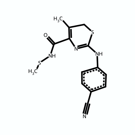 CSNC(=O)C1=C(C)CSC(Nc2ccc(C#N)cc2)=N1